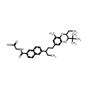 CCC(CCc1ccc(OC(CC)C(O)C(C)(C)C)c(C)c1)c1ccc2cc(C(=O)NCC(=O)O)ccc2c1